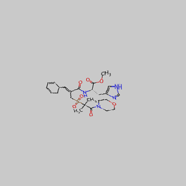 COC(=O)[C@H](Cc1c[nH]cn1)NC(=O)C(=C[C@@H]1C=CC=CC1)CS(=O)(=O)C(C)(C)C(=O)N1CCOCC1